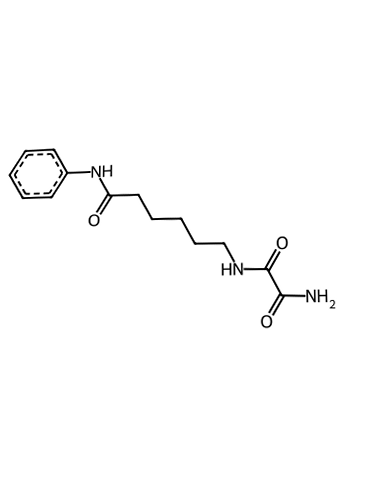 NC(=O)C(=O)NCCCCCC(=O)Nc1ccccc1